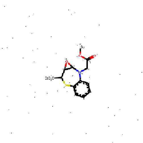 CCOC(=O)C1Sc2ccccc2N(CC(=O)OC(C)(C)C)C2OC12